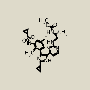 COC(=O)N[C@@H](C)CNc1nccc(-c2[nH]c(C3CC3)nc2-c2cc(F)cc(NS(=O)(=O)C3CC3)c2C)n1